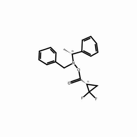 C[C@H](c1ccccc1)N(Cc1ccccc1)OC(=O)[C@@H]1CC1(F)F